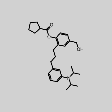 CC(C)N(c1cccc(CCCc2cc(CO)ccc2OC(=O)C2CCCC2)c1)C(C)C